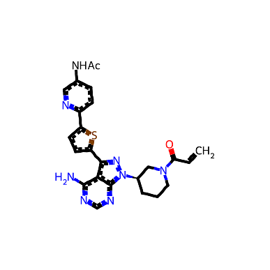 C=CC(=O)N1CCC[C@@H](n2nc(-c3ccc(-c4ccc(NC(C)=O)cn4)s3)c3c(N)ncnc32)C1